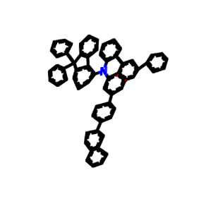 c1ccc(-c2cccc(-c3ccccc3N(c3cccc(-c4ccc(-c5ccc6ccccc6c5)cc4)c3)c3cccc4c3-c3ccccc3C4(c3ccccc3)c3ccccc3)c2)cc1